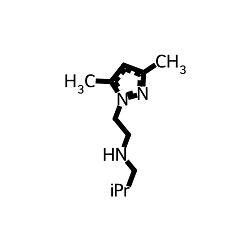 Cc1cc(C)n(CCNCC(C)C)n1